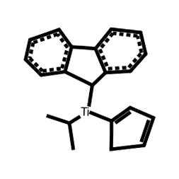 C[CH](C)[Ti]([C]1=CC=CC1)[CH]1c2ccccc2-c2ccccc21